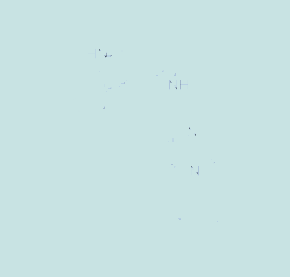 Cc1cccc(C)c1N1CCN(CCNC2CCc3[nH]c4ccccc4c3C2)CC1